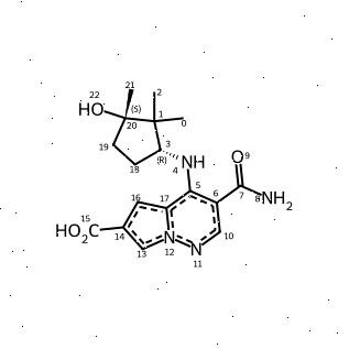 CC1(C)[C@H](Nc2c(C(N)=O)cnn3cc(C(=O)O)cc23)CC[C@]1(C)O